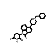 O=C1CCC(N2C(=O)c3ccc(C4CCN(Cc5ccccc5)CC4)c4cccc2c34)C(=O)N1